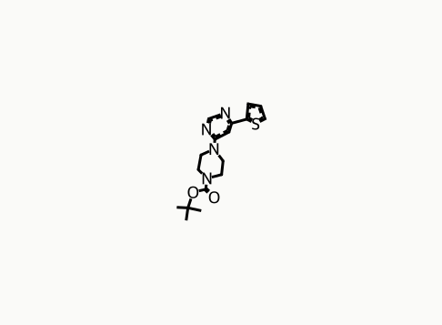 CC(C)(C)OC(=O)N1CCN(c2cc(-c3cccs3)ncn2)CC1